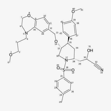 COCCCN1CCOc2ccc(CO[C@H]3CN(S(=O)(=O)c4ccc(C)cc4)[C@@H](CC(O)C#N)C[C@@H]3c3ccc(OC)cc3)cc21